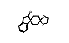 CCC1Cc2ccccc2C12CCC1(CC2)OCCO1